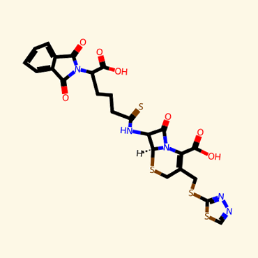 O=C(O)C1=C(CSc2nncs2)CS[C@H]2C(NC(=S)CCCC(C(=O)O)N3C(=O)c4ccccc4C3=O)C(=O)N12